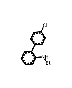 [CH2]CNc1ccccc1-c1ccc(Cl)cc1